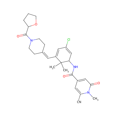 Cn1c(C#N)cc(C(=O)NC2C=C(Cl)C=C(C=C3CCN(C(=O)C4CCCO4)CC3)C2(C)C)cc1=O